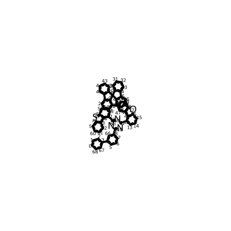 c1ccc(-c2cccc(-c3nc(-c4cccc5oc6ccc(-c7cccc8c7C7(c9ccccc9-c9ccccc97)c7ccccc7-8)cc6c45)nc(-c4cccc5sc6ccccc6c45)n3)c2)cc1